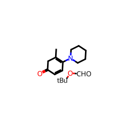 CC(C)(C)OC=O.CC1=C(N2CCCCC2)C=CC(=O)C1